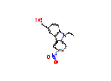 CCn1c2ccc(CO)cc2c2cc([N+](=O)[O-])ccc21